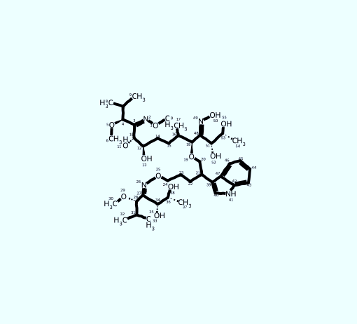 CO/N=C(/[C@@H](OC)C(C)C)[C@@H](O)[C@H](O)CCC(C)[C@H](OCC(CCCO/N=C(/[C@@H](OC)C(C)C)[C@@H](O)[C@@H](C)O)c1c[nH]c2ccccc12)/C(=N/O)[C@@H](O)[C@@H](C)O